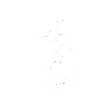 Cc1cc(C2CC2)c2ccc(O)c(-c3ccc(N(C)C4CC(C)(C)NC(C)(C)C4)nn3)c2n1